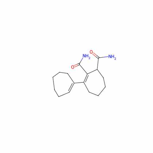 NC(=O)C1=C(C2=CCCCCC2)CCCCC1C(N)=O